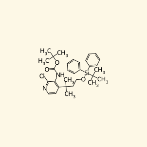 CC(C)(C)OC(=O)Nc1c(C(C)(C)CCO[Si](c2ccccc2)(c2ccccc2)C(C)(C)C)ccnc1Cl